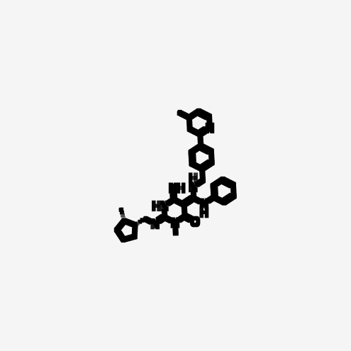 CC1C=CN=C(c2ccc(CN/C(Nc3ccccc3)=C3\C(=N)N/C(=N\C[C@@H]4CCC[C@@H]4C)N(C)C3=O)cc2)C1